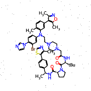 Cc1ccc(-c2c(C)noc2C)cc1N(CCN1CCN(CC(=O)N[C@H](C(=O)N2CCC[C@H]2C(=O)N[C@@H](C)c2ccc(-c3scnc3C)cc2)C(C)(C)C)CC1)c1ccc(-n2ccnc2)c(Br)c1